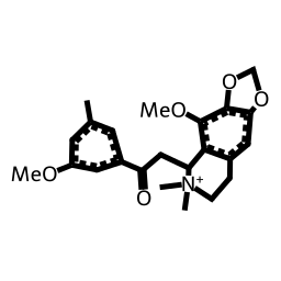 COc1cc(C)cc(C(=O)CC2c3c(cc4c(c3OC)OCO4)CC[N+]2(C)C)c1